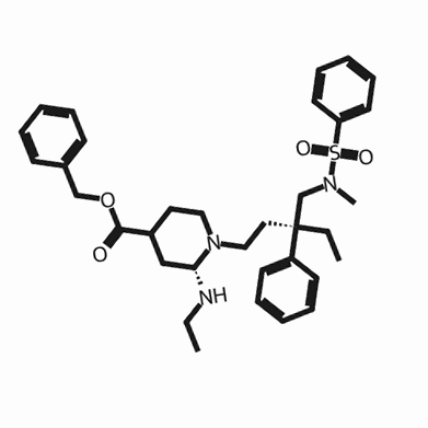 CCN[C@@H]1CC(C(=O)OCc2ccccc2)CCN1CC[C@@](CC)(CN(C)S(=O)(=O)c1ccccc1)c1ccccc1